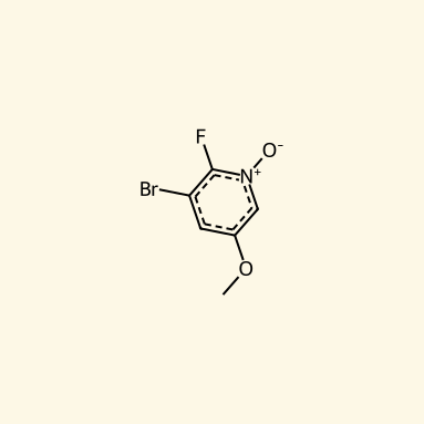 COc1cc(Br)c(F)[n+]([O-])c1